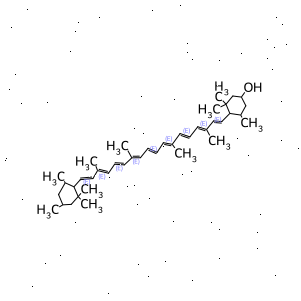 CC(/C=C/C=C(C)/C=C/C1C(C)CC(C)CC1(C)C)=C\C=C\C=C(C)\C=C\C=C(C)\C=C\C1C(C)CC(O)CC1(C)C